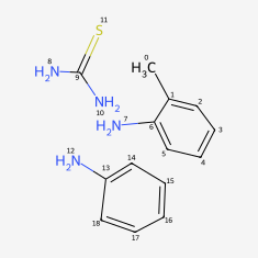 Cc1ccccc1N.NC(N)=S.Nc1ccccc1